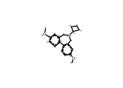 COc1ccc2c(c1)CN(C1CCC1)Cc1cc(OC)ccc1-2